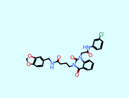 O=C(CCCn1c(=O)c2ccccc2n(CC(=O)Nc2cccc(Cl)c2)c1=O)NCc1ccc2c(c1)OCO2